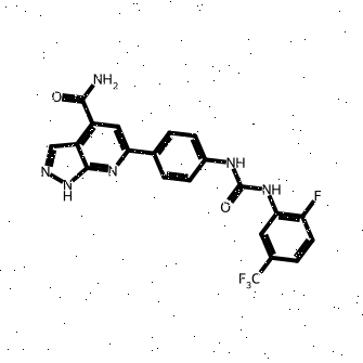 NC(=O)c1cc(-c2ccc(NC(=O)Nc3cc(C(F)(F)F)ccc3F)cc2)nc2[nH]n[c]c12